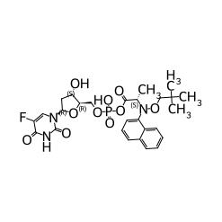 C[C@@H](C(=O)OP(=O)(O)OC[C@H]1O[C@@H](n2cc(F)c(=O)[nH]c2=O)C[C@@H]1O)N(OCC(C)(C)C)c1cccc2ccccc12